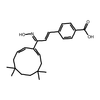 CC1(C)C\C=C/C(C(/C=C/c2ccc(C(=O)O)cc2)=N\O)=C\CC(C)(C)CC1